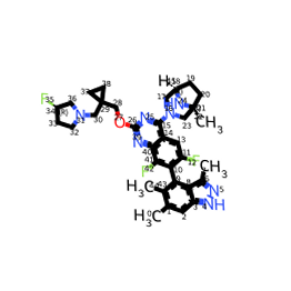 Cc1cc2[nH]nc(C)c2c(-c2c(F)cc3c(N4C[C@H]5CC[C@](C)(C4)N5)nc(OCC4(CN5CC[C@@H](F)C5)CC4)nc3c2F)c1C